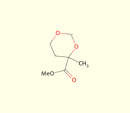 COC(=O)C1(C)CCO[CH]O1